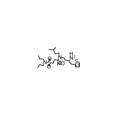 CCCN(CCC)S(=O)(=O)CCC(=O)N(CCC(C)C)C[C@@H](O)[C@@H](N)Cc1cccs1